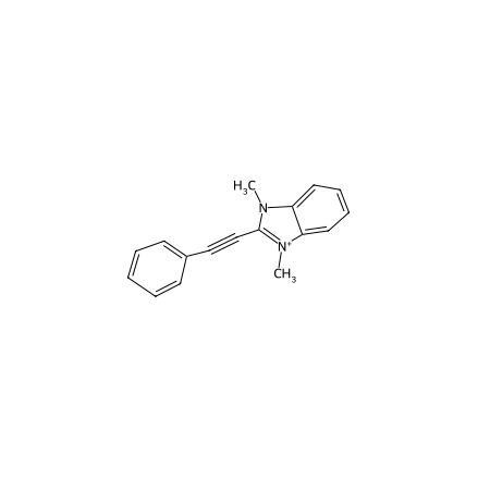 Cn1c(C#Cc2ccccc2)[n+](C)c2ccccc21